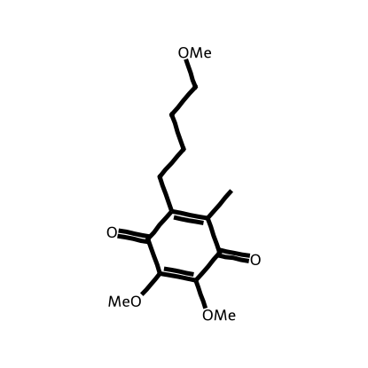 COCCCCC1=C(C)C(=O)C(OC)=C(OC)C1=O